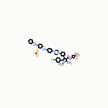 Cc1c(C(=O)NC2CC(C)(O)C2)c(-c2cccc(N3CCN(c4ccc(NSc5ccc(NSc6ccccc6)c(SOC(=O)F)c5)cc4)CC3)c2)c(-c2ccc(Cl)cc2)n1C